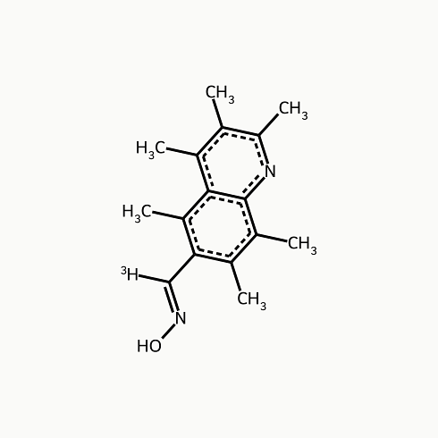 [3H]C(=NO)c1c(C)c(C)c2nc(C)c(C)c(C)c2c1C